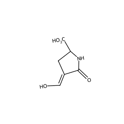 O=C1NC(C(=O)O)CC1=CO